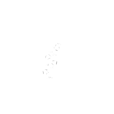 COc1cccc([C@@H]2Oc3cccc(-c4cccc5c4P[C@H](c4cccc(OC)n4)O5)c3P2)n1